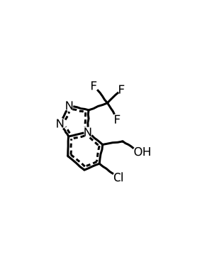 OCc1c(Cl)ccc2nnc(C(F)(F)F)n12